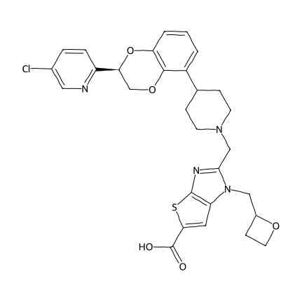 O=C(O)c1cc2c(nc(CN3CCC(c4cccc5c4OC[C@@H](c4ccc(Cl)cn4)O5)CC3)n2CC2CCO2)s1